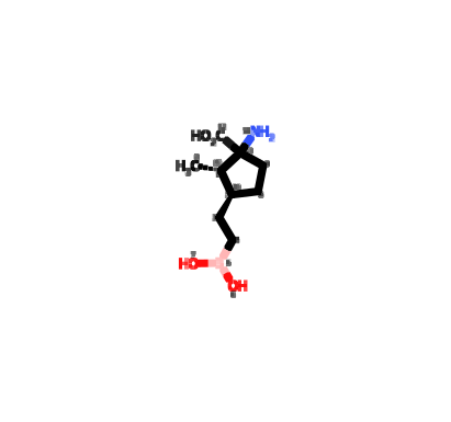 C[C@H]1[C@H](CCB(O)O)CCC1(N)C(=O)O